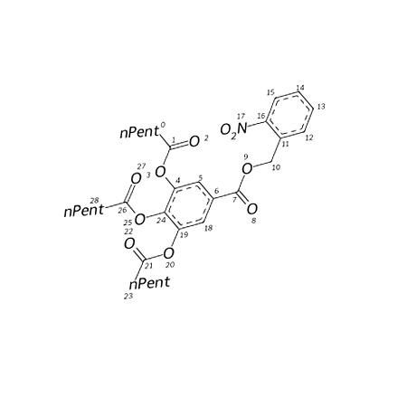 CCCCCC(=O)Oc1cc(C(=O)OCc2ccccc2[N+](=O)[O-])cc(OC(=O)CCCCC)c1OC(=O)CCCCC